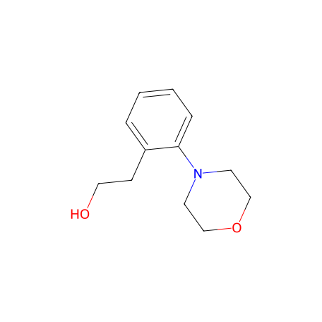 OCCc1ccccc1N1CCOCC1